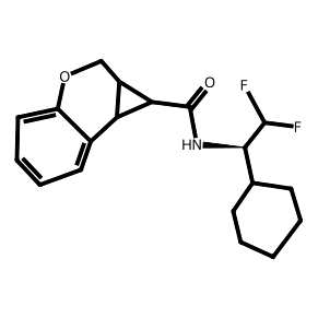 O=C(N[C@@H](C(F)F)C1CCCCC1)C1C2COc3ccccc3C21